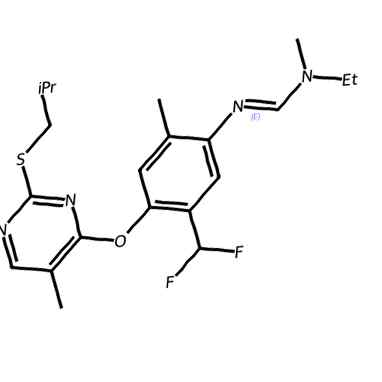 CCN(C)/C=N/c1cc(C(F)F)c(Oc2nc(SCC(C)C)ncc2C)cc1C